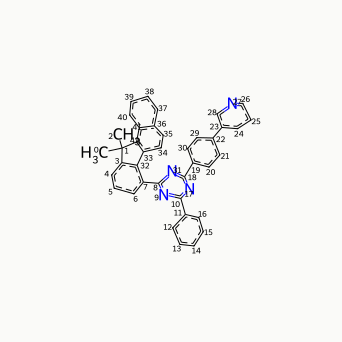 CC1(C)c2cccc(-c3nc(-c4ccccc4)nc(-c4ccc(-c5cccnc5)cc4)n3)c2-c2ccc3ccccc3c21